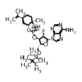 C=C(C)[C@H]1CC[C@@](C)(S)[C@H](O[PH](=S)O[C@H]2[C@@H](F)[C@H](n3cnc4c(N)ncnc43)O[C@@H]2CO[Si](C)(C)C(C)(C)C)C1